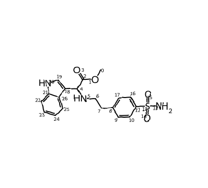 COC(=O)C(NCCc1ccc(S(N)(=O)=O)cc1)c1c[nH]c2ccccc12